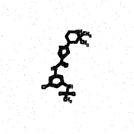 CC1(C)CC(n2cc(C(=O)Nc3cc(Cl)cc(NS(C)(=O)=O)c3)cn2)CCN1